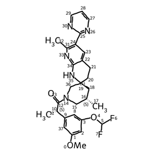 COc1cc(OC(F)F)cc([C@H](C)C(=O)N2C[C@@H](C)C[C@@]3(CCc4cc(-c5ncccn5)c(C)nc4N3)C2)c1